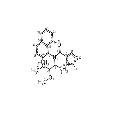 COC(OC)C(C)N(C(=O)c1csnn1)c1c(C)ccc2ccccc12